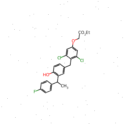 CCOC(=O)COc1cc(Cl)c(Cc2ccc(O)c(C(C)c3ccc(F)cc3)c2)c(Cl)c1